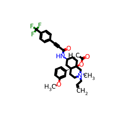 C=CC[N@@+]1(C)CC[C@@]2(c3cccc(OC)c3)C[C@@H](NC(=O)C#Cc3ccc(C(F)(F)F)cc3)CCC2(OC(C)=O)C1